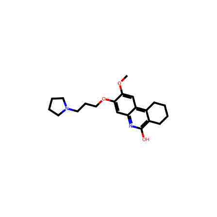 COc1cc2c3c(c(O)nc2cc1OCCCN1CCCC1)CCCC3